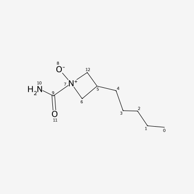 CCCCCC1C[N+]([O-])(C(N)=O)C1